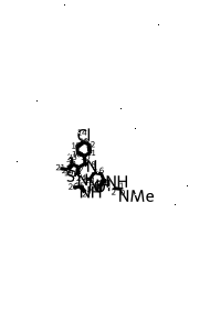 CNCCNC(=O)CC1N=C(c2ccc(Cl)cc2)c2c(sc(C)c2C)N(C(C)=N)C1=N